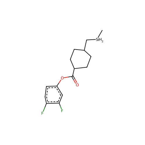 C[SiH2]CC1CCC(C(=O)Oc2ccc(F)c(F)c2)CC1